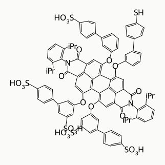 CC(C)c1cccc(C(C)C)c1N1C(=O)c2cc(Oc3cccc(-c4ccc(S)cc4)c3)c3c4c(Oc5cccc(-c6ccc(S(=O)(=O)O)cc6)c5)cc5c6c(cc(Oc7cc(-c8ccc(S(=O)(=O)O)cc8)cc(S(=O)(=O)O)c7)c(c7c(Oc8cc(-c9ccc(S(=O)(=O)O)cc9)cc(S(=O)(=O)O)c8)cc(c2c37)C1=O)c64)C(=O)N(c1c(C(C)C)cccc1C(C)C)C5=O